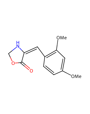 COc1ccc(/C=C2/NCOC2=O)c(OC)c1